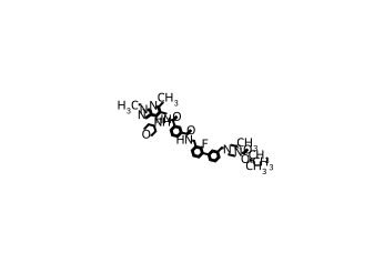 CCc1nc2c(cnn2CC)c(NC2CCOCC2)c1CNC(=O)c1cccc(C(=O)NCc2cccc(-c3cccc(CN4CCN(C(=O)OC(C)(C)C)[C@@H](C)C4)c3)c2F)c1